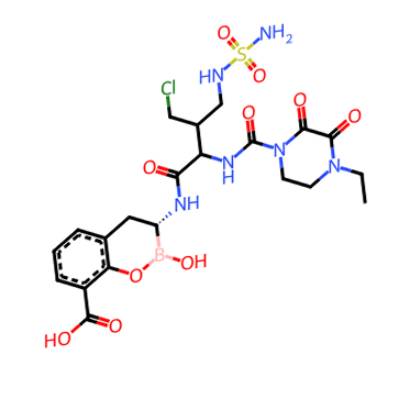 CCN1CCN(C(=O)NC(C(=O)N[C@H]2Cc3cccc(C(=O)O)c3OB2O)C(CCl)CNS(N)(=O)=O)C(=O)C1=O